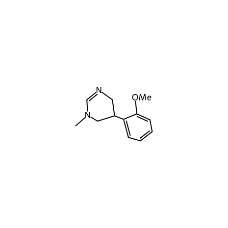 COc1ccccc1C1CN=CN(C)C1